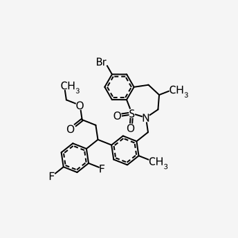 CCOC(=O)CC(c1ccc(C)c(CN2CC(C)Cc3cc(Br)ccc3S2(=O)=O)c1)c1ccc(F)cc1F